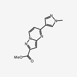 COC(=O)c1cc2nc(-c3cnn(C)c3)ccn2n1